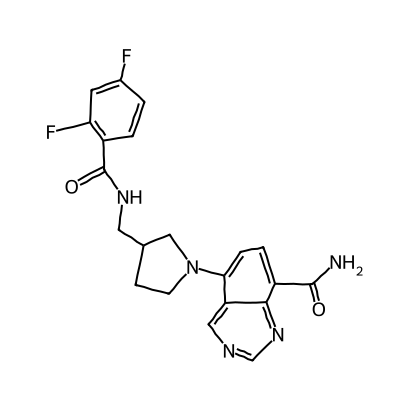 NC(=O)c1ccc(N2CCC(CNC(=O)c3ccc(F)cc3F)C2)c2cncnc12